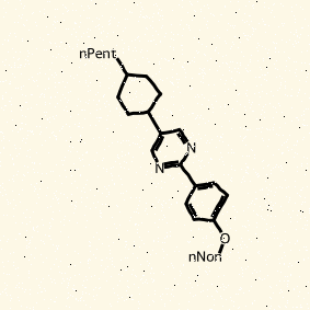 CCCCCCCCCOc1ccc(-c2ncc(C3CCC(CCCCC)CC3)cn2)cc1